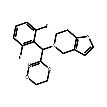 Fc1cccc(F)c1C(C1=NOCCO1)N1CCc2sccc2C1